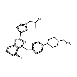 CCN1CCC(c2ccc(Nc3nc(-c4cnn(CC(=O)O)c4)cc4cc[nH]c(=O)c34)cc2)CC1